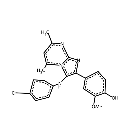 COc1cc(-c2nc3nc(C)cc(C)n3c2Nc2ccc(Cl)cc2)ccc1O